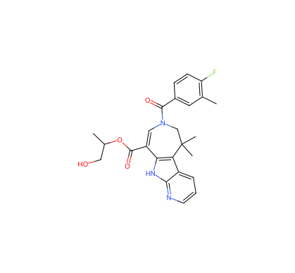 Cc1cc(C(=O)N2C=C(C(=O)OC(C)CO)c3[nH]c4ncccc4c3C(C)(C)C2)ccc1F